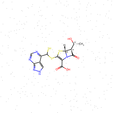 C[C@@H](O)[C@H]1C(=O)N2C(C(=O)O)=C(SC(S)c3ncnc4n[nH]cc34)S[C@H]12